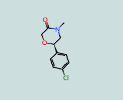 CN1C[C@@H](c2ccc(Cl)cc2)OCC1=O